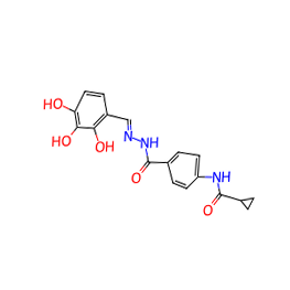 O=C(NN=Cc1ccc(O)c(O)c1O)c1ccc(NC(=O)C2CC2)cc1